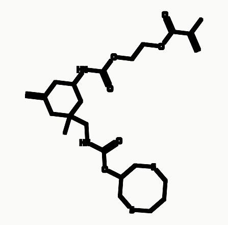 C=C1CC(NC(=O)OCCOC(=O)C(=C)C)CC(C)(CNC(=O)OC2CSCCCSC2)C1